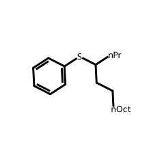 CCCCCCCCCCC(CCC)Sc1ccccc1